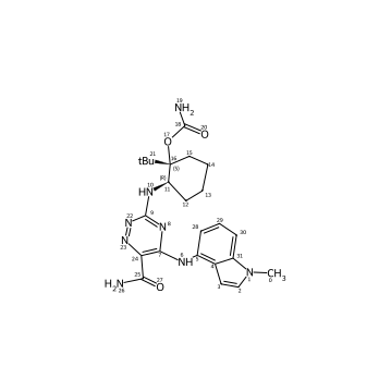 Cn1ccc2c(Nc3nc(N[C@@H]4CCCC[C@]4(OC(N)=O)C(C)(C)C)nnc3C(N)=O)cccc21